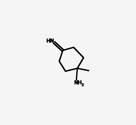 CC1(N)CCC(=N)CC1